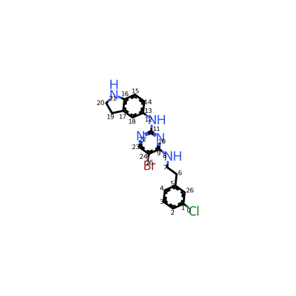 Clc1cccc(CCNc2nc(Nc3ccc4c(c3)CCN4)ncc2Br)c1